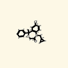 CC1(c2ccccc2)OCC(=O)N(CC2CC2)c2ccc(Cl)cc21